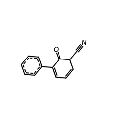 N#CC1C=CC=C(c2ccccc2)C1=O